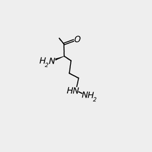 CC(=O)[C@H](N)CCCNN